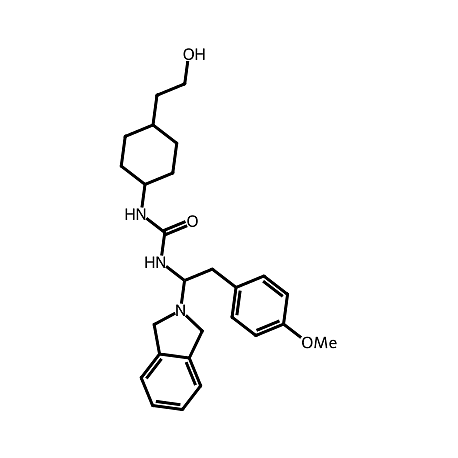 COc1ccc(CC(NC(=O)NC2CCC(CCO)CC2)N2Cc3ccccc3C2)cc1